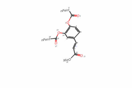 CCCCCC(=O)Oc1ccc(/C=C/C(=O)OC)cc1OC(=O)CCCCC